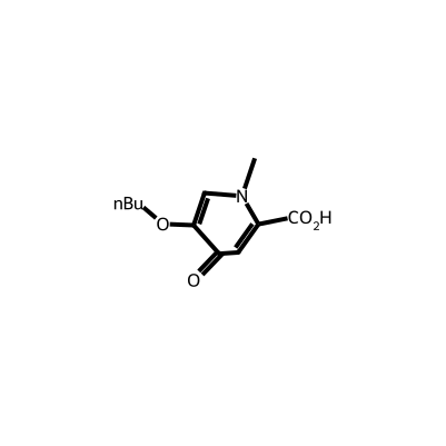 CCCCOc1cn(C)c(C(=O)O)cc1=O